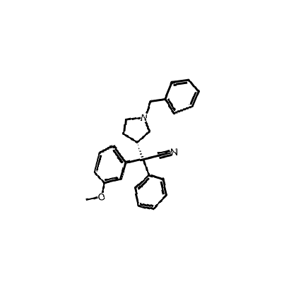 COc1cccc(C(C#N)(c2ccccc2)[C@@H]2CCN(Cc3ccccc3)C2)c1